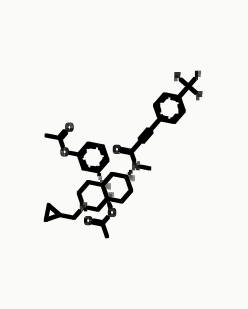 CC(=O)Oc1cccc([C@@]23CCN(CC4CC4)C[C@@]2(OC(C)=O)CC[C@@H](N(C)C(=O)C#Cc2ccc(C(F)(F)F)cc2)C3)c1